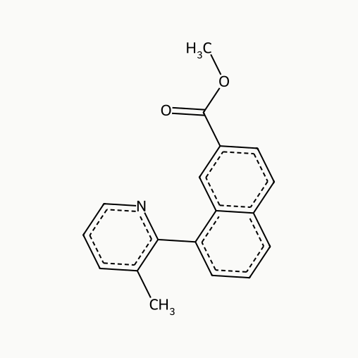 COC(=O)c1ccc2cccc(-c3ncccc3C)c2c1